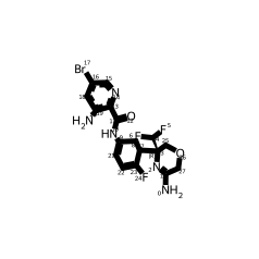 NC1=N[C@](C(F)F)(C2CC(NC(=O)c3ncc(Br)cc3N)=CC=C2F)COC1